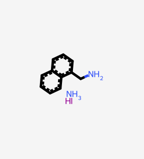 I.N.NCc1cccc2ccccc12